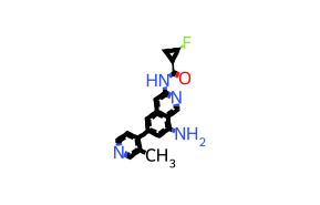 Cc1cnccc1-c1cc(N)c2cnc(NC(=O)[C@H]3C[C@H]3F)cc2c1